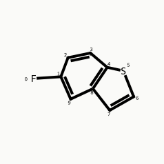 Fc1c[c]c2sccc2c1